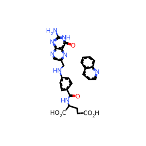 Nc1nc2ncc(CNc3ccc(C(=O)NC(CCC(=O)O)C(=O)O)cc3)nc2c(=O)[nH]1.c1ccc2ncccc2c1